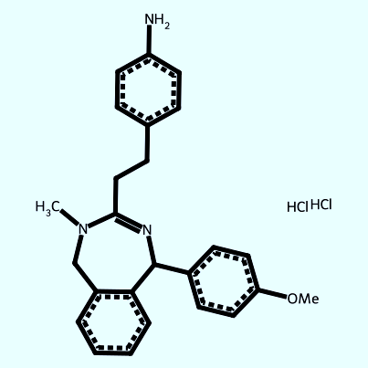 COc1ccc(C2N=C(CCc3ccc(N)cc3)N(C)Cc3ccccc32)cc1.Cl.Cl